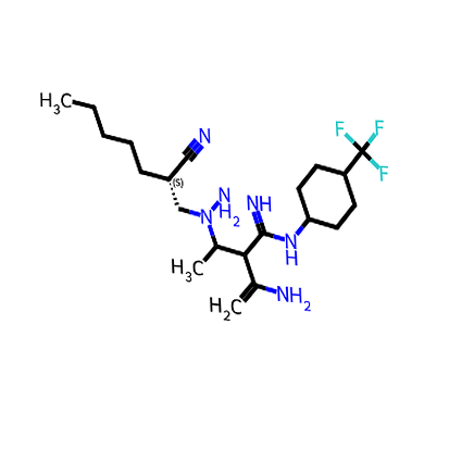 C=C(N)C(C(=N)NC1CCC(C(F)(F)F)CC1)C(C)N(N)C[C@@H](C#N)CCCCC